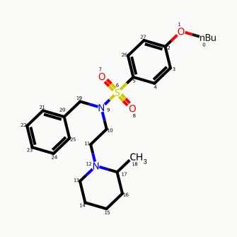 CCCCOc1ccc(S(=O)(=O)N(CCN2CCCCC2C)Cc2ccccc2)cc1